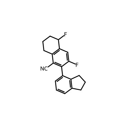 N#Cc1c2c(cc(F)c1-c1cccc3c1CCC3)C(F)CCC2